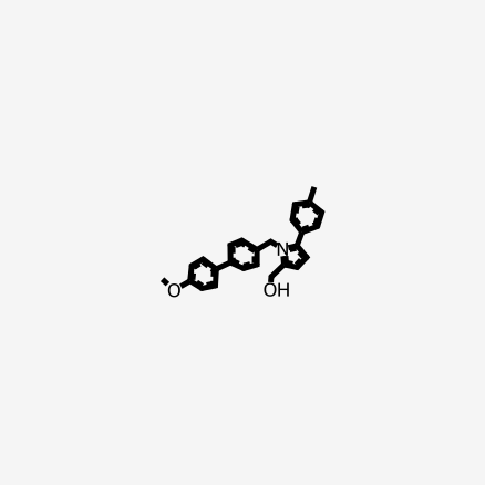 COc1ccc(-c2ccc(Cn3c(CO)ccc3-c3ccc(C)cc3)cc2)cc1